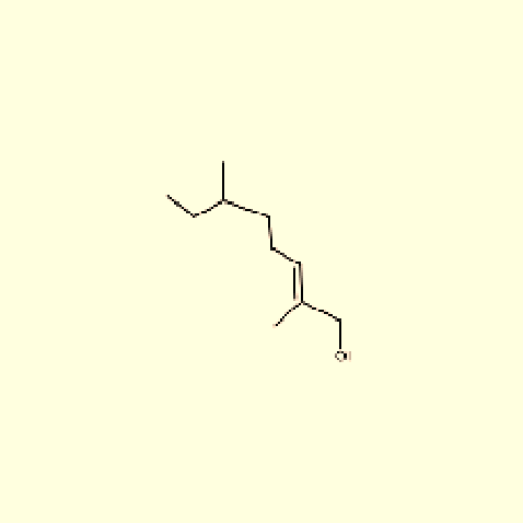 CCC(C)CC/C=C(\C)CO